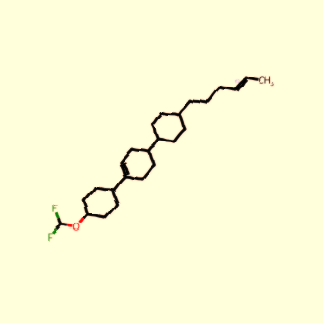 C/C=C/CCCC1CCC(C2CC=C(C3CCC(OC(F)F)CC3)CC2)CC1